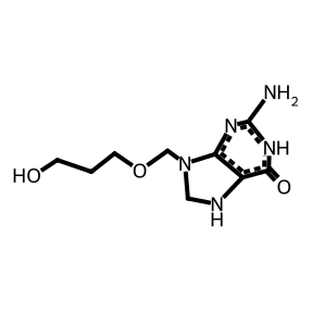 Nc1nc2c(c(=O)[nH]1)NCN2COCCCO